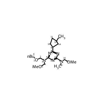 CCCCOCN(COC)c1nc(C2CCC(C)C2)nc(N(C)COC)n1